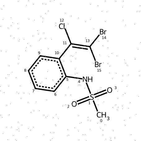 CS(=O)(=O)Nc1ccccc1C(Cl)=C(Br)Br